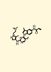 C=CC(=O)Nc1ccc2c(c1)c(C)cn2-c1nc(Nc2cnn(CCN(C)C)c2C)ncc1F